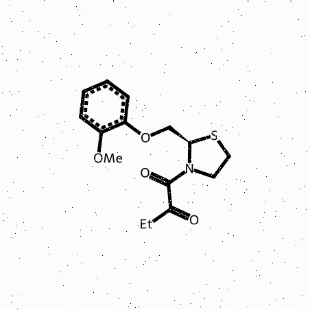 CCC(=O)C(=O)N1CCS[C@@H]1COc1ccccc1OC